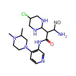 CC1CN(c2ccncc2NC(=O)C(C(N)N=O)C2NCC(Cl)CN2)CCN1C